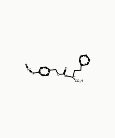 [N-]=[N+]=Nc1ccc(COC(=O)N[C@@H](CCc2ccccc2)C(=O)O)cc1